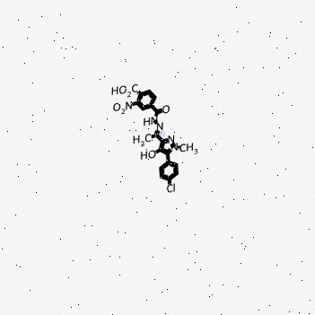 C/C(=N\NC(=O)c1ccc(C(=O)O)c([N+](=O)[O-])c1)c1nn(C)c(-c2ccc(Cl)cc2)c1O